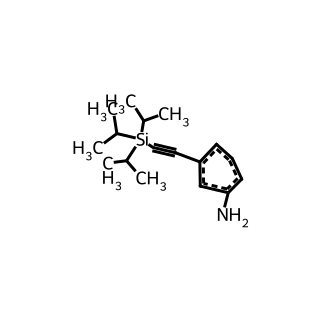 CC(C)[Si](C#Cc1cccc(N)c1)(C(C)C)C(C)C